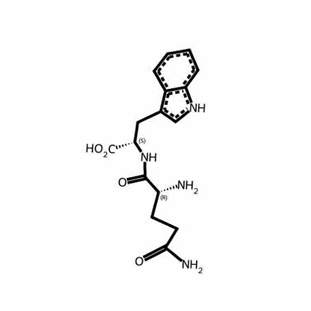 NC(=O)CC[C@@H](N)C(=O)N[C@@H](Cc1c[nH]c2ccccc12)C(=O)O